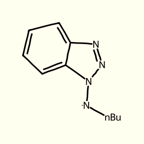 CCCC[N]n1nnc2ccccc21